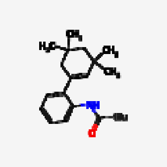 CC1(C)C=C(c2ccccc2NC(=O)C(C)(C)C)CC(C)(C)C1